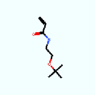 C=CC(=O)NCCOC(C)(C)C